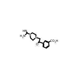 N=C(N)N1CCN(CC(=O)c2cccc(C(=O)O)c2)CC1